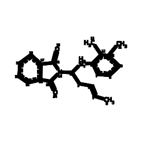 CC=CCC([SiH2]c1cccc(C)c1C)N1C(=O)c2ccccc2C1=O